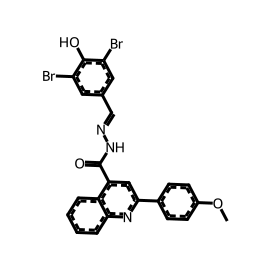 COc1ccc(-c2cc(C(=O)N/N=C/c3cc(Br)c(O)c(Br)c3)c3ccccc3n2)cc1